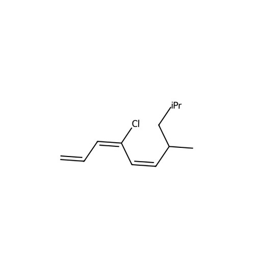 C=C/C=C(Cl)\C=C/C(C)CC(C)C